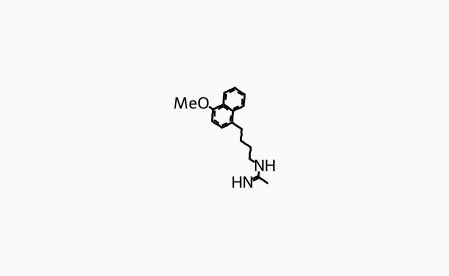 COc1ccc(CCCCNC(C)=N)c2ccccc12